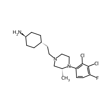 C[C@@H]1CN(CC[C@H]2CC[C@H](N)CC2)CCN1c1ccc(F)c(Cl)c1Cl